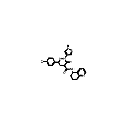 Cn1cc(-n2nc(-c3ccc(Cl)cc3)cc(C(=O)N[C@H]3CCCc4ncccc43)c2=O)cn1